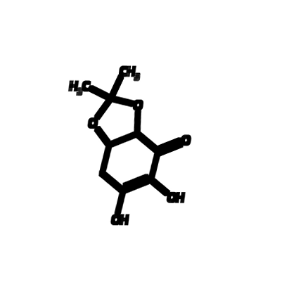 CC1(C)OC2CC(O)=C(O)C(=O)C2O1